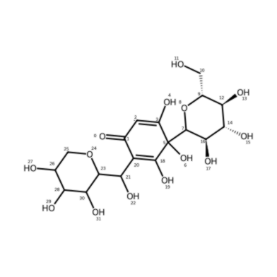 O=C1[C]=C(O)C(O)(C2O[C@H](CO)[C@@H](O)[C@H](O)[C@H]2O)C(O)=C1C(O)C1OCC(O)C(O)C1O